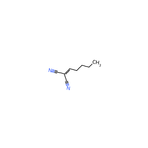 CCCCC=C(C#N)C#N